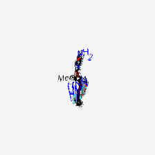 COc1cc2c(NC(=O)Nc3c(F)cccc3F)ncnc2cc1OCCCN1CCC(CN)CC1